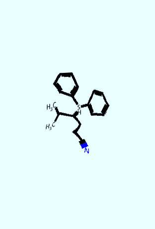 CC(C)[C](CCC#N)[SiH](c1ccccc1)c1ccccc1